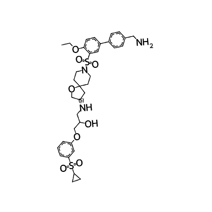 CCOc1ccc(-c2ccc(CN)cc2)cc1S(=O)(=O)N1CCC2(CC1)C[C@H](NCC(O)COc1cccc(S(=O)(=O)C3CC3)c1)CO2